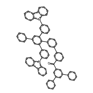 O=C(c1cccc(-c2cccc(-c3c(-c4cccc(-n5c6ccccc6c6ccccc65)c4)cc(-c4ccccc4)cc3-c3cccc(-n4c5ccccc5c5ccccc54)c3)c2)c1)c1cc(-c2ccccc2)cc(-c2ccccc2)c1